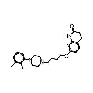 Cc1cccc(N2CCN(CCCCOc3ccc4c(n3)NC(=O)CC4)CC2)c1C